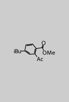 CCC(C)c1ccc(C(=O)OC)c(C(C)=O)c1